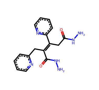 NNC(=O)CC(=C(Cc1ccccn1)C(=O)NN)c1ccccn1